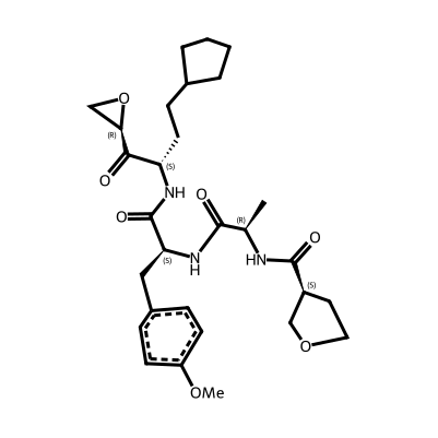 COc1ccc(C[C@H](NC(=O)[C@@H](C)NC(=O)[C@H]2CCOC2)C(=O)N[C@@H](CCC2CCCC2)C(=O)[C@H]2CO2)cc1